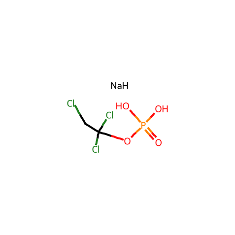 O=P(O)(O)OC(Cl)(Cl)CCl.[NaH]